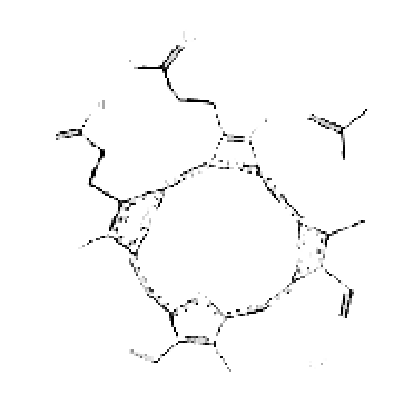 C=C(C)C.C=CC1=C(C)c2cc3[nH]c(cc4nc(cc5[nH]c(cc1n2)c(C)c5CCC(=O)O)C(CCC(=O)O)=C4C)c(C)c3C=C.[Co]